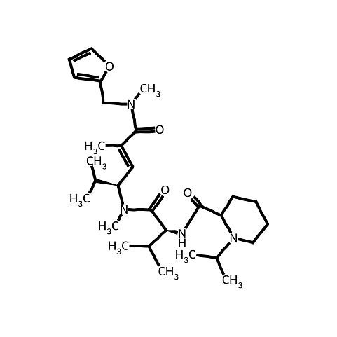 C/C(=C\[C@H](C(C)C)N(C)C(=O)[C@@H](NC(=O)C1CCCCN1C(C)C)C(C)C)C(=O)N(C)Cc1ccco1